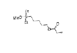 C=CC(=O)OCCCCC[Si](CC)(CC)OC